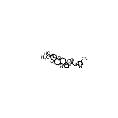 C[C@@]1(O)CC[C@@]2(CF)[C@H](CC[C@H]3[C@@H]4CC[C@H](C(=O)Cn5cc(C#N)cn5)[C@@]4(C)CC[C@@H]32)C1